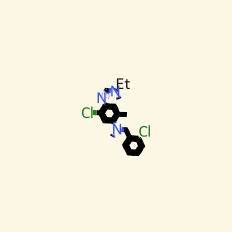 CCN(C)/C=N\c1cc(C)c(N(C)Cc2ccccc2Cl)cc1Cl